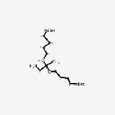 [CH2]C(CN)(OCCCCCCCCCCCCCC)OCCCCCCCCCCCCCC